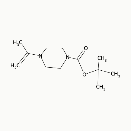 C=C(C)N1CCN(C(=O)OC(C)(C)C)CC1